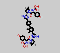 Cc1c(-c2ccc(-c3c[nH]c([C@@H]4C[C@H]5CC5N4C(=O)[C@H](NC(=O)O)C4CCC(=O)CC4)n3)cc2)ccc(-c2c[nH]c([C@@H]3C[C@H]4CC4N3C(=O)[C@H](NC(=O)O)C3CCC(=O)CC3)n2)c1C